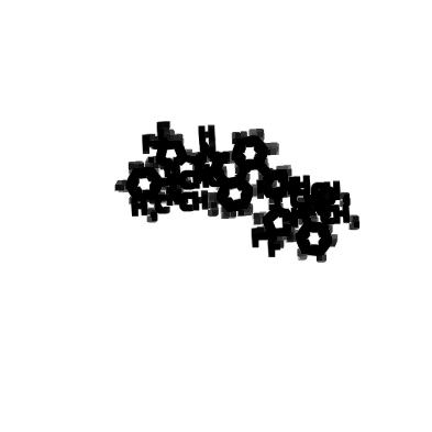 CN(C)C(C=O)(c1ccccc1)N1CC(F)(F)C[C@H]1c1nc(-c2ccccc2-c2ccccc2-c2c[nH]c([C@@H]3CC(F)(F)CN3C(C=O)(c3ccccc3)N(C)C)n2)c[nH]1